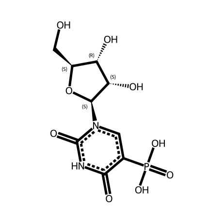 O=c1[nH]c(=O)n([C@H]2O[C@@H](CO)[C@H](O)[C@@H]2O)cc1P(=O)(O)O